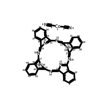 N#[C][Co][C]#N.c1ccc2c(c1)-c1nc-2nc2[nH]c(nc3nc(nc4[nH]c(n1)c1ccccc41)-c1ccccc1-3)c1ccccc21